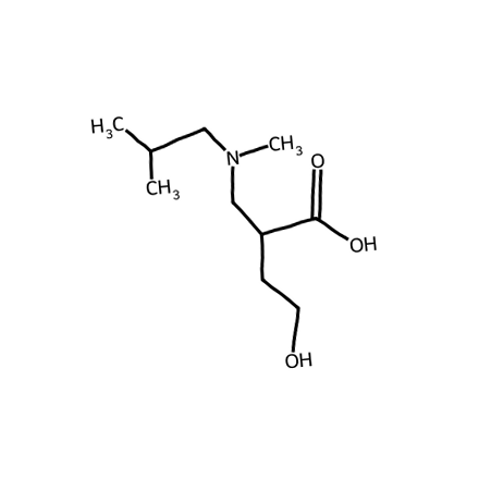 CC(C)CN(C)CC(CCO)C(=O)O